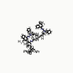 CC(C)OCC1OC(n2cc(/C=C/C(=O)NCCN(CCNC(=O)CN3/C(=C/C=C/c4cc[n+](C)c5ccccc45)Sc4ccccc43)CCNC(=O)CN3/C(=C/C=C/c4cc[n+](C)c5ccccc45)Sc4ccccc43)c(=O)[nH]c2=O)CC1OP(=O)(O)OC(C)C